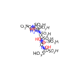 Cc1cc(N=Nc2c(S(=O)(=O)O)cc3c(S(=O)(=O)O)c(N=Nc4cc(S(=O)(=O)O)c5cc(S(=O)(=O)O)c(N=Nc6ccc([N+](=O)[O-])cc6S(=O)(=O)O)c(O)c5c4N)ccc3c2O)c(OCCCS(=O)(=O)O)cc1N=Nc1cc(S(=O)(=O)O)cc2cc(S(=O)(=O)O)cc(O)c12